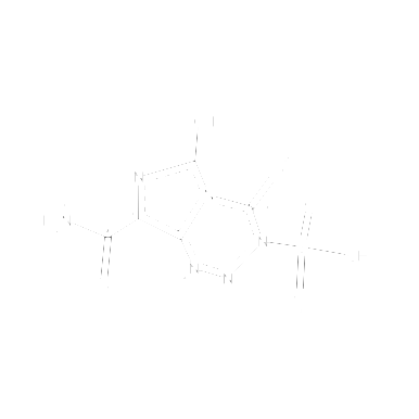 Cc1nc(C(N)=O)c2nnn(S(C)(=O)=O)c(=O)n12